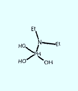 CCN(CC)[PH](O)(O)O